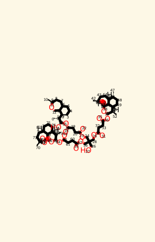 C[C@H]([C@@H]1CCCC2CC[C@H](C)OCC21)[C@@H](O)OC(=O)CCC(=O)OCC(CO)(COC(=O)CCC(=O)O[C@@H]1O[C@@H]2O[C@@]3(C)CC[C@H]4[C@H](C)CC[C@@H]([C@H]1C)[C@@]24OO3)COC(=O)CCC(=O)O[C@@H]1O[C@@H]2O[C@@]3(C)CC[C@H]4CCC[C@@H]([C@H]1C)[C@]42OO3